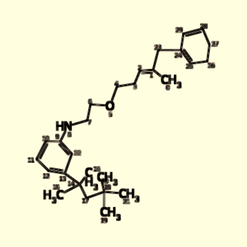 C/C(=C\CCOCCNc1cccc(C(C)(C)CC(C)(C)C)c1)CC1=CCCC=C1